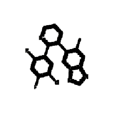 Cc1cc2ncnn2cc1-c1cccnc1-c1cc(Cl)c(F)cc1F